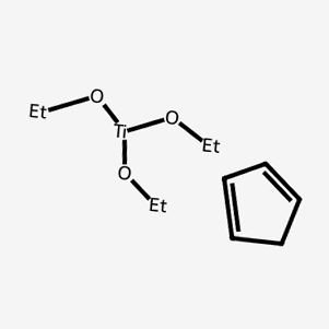 C1=CCC=C1.CC[O][Ti]([O]CC)[O]CC